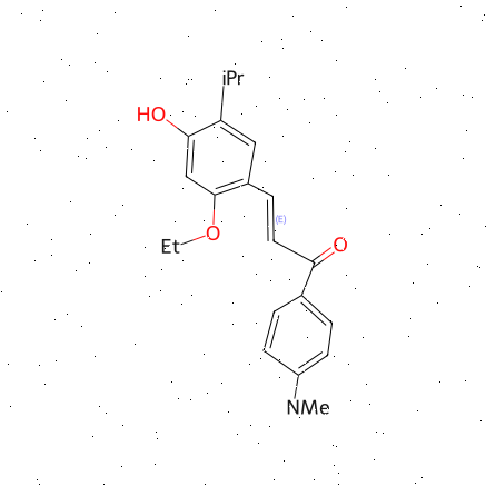 CCOc1cc(O)c(C(C)C)cc1/C=C/C(=O)c1ccc(NC)cc1